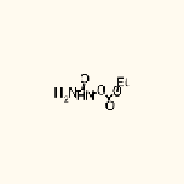 CCOC(=O)ONC(N)=O